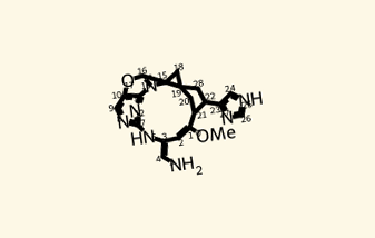 CO/C1=C/C(=C\N)Nc2ncc3c(n2)N(C)C2(CO3)CC23CC1C(c1c[nH]cn1)C3